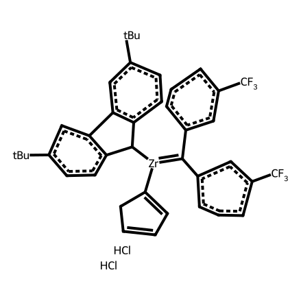 CC(C)(C)c1ccc2c(c1)-c1cc(C(C)(C)C)ccc1[CH]2[Zr]([C]1=CC=CC1)=[C](c1cccc(C(F)(F)F)c1)c1cccc(C(F)(F)F)c1.Cl.Cl